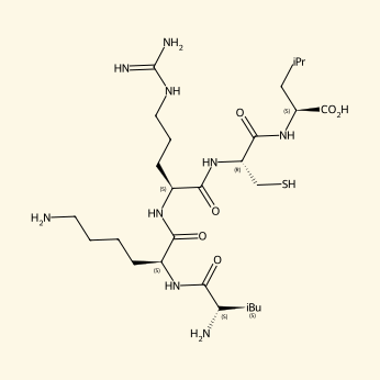 CC[C@H](C)[C@H](N)C(=O)N[C@@H](CCCCN)C(=O)N[C@@H](CCCNC(=N)N)C(=O)N[C@@H](CS)C(=O)N[C@@H](CC(C)C)C(=O)O